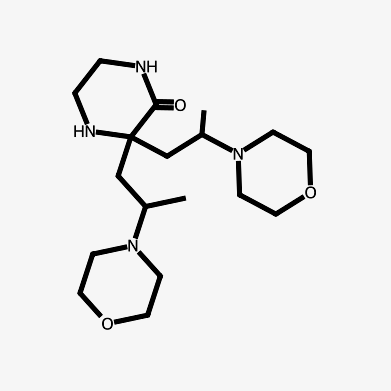 CC(CC1(CC(C)N2CCOCC2)NCCNC1=O)N1CCOCC1